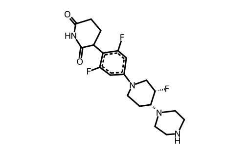 O=C1CCC(c2c(F)cc(N3CC[C@@H](N4CCNCC4)[C@@H](F)C3)cc2F)C(=O)N1